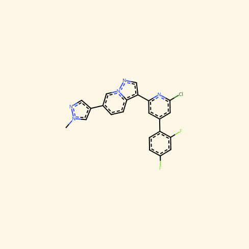 Cn1cc(-c2ccc3c(-c4cc(-c5ccc(F)cc5F)cc(Cl)n4)cnn3c2)cn1